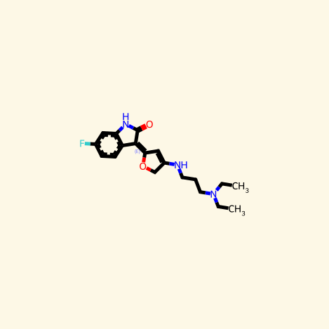 CCN(CC)CCCNC1=C/C(=C2\C(=O)Nc3cc(F)ccc32)OC1